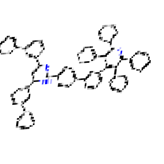 C1=C(c2cccc(-c3ccccc3)c2)N=C(c2ccc(-c3cccc(-c4c(-c5ccccc5)c(-c5ccccc5)nc(-c5ccccc5)c4-c4ccccc4)c3)cc2)NC1c1cccc(-c2ccccc2)c1